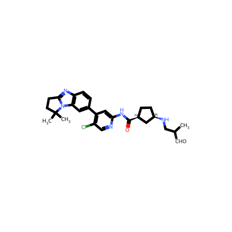 CC(C=O)CN[C@@H]1CC[C@H](C(=O)Nc2cc(-c3ccc4nc5n(c4c3)C(C)(C)CC5)c(Cl)cn2)C1